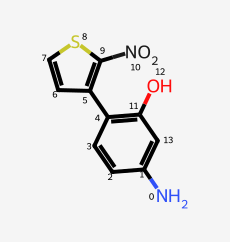 Nc1ccc(-c2ccsc2[N+](=O)[O-])c(O)c1